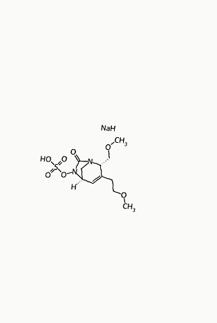 COCCC1=C[C@@H]2CN(C(=O)N2OS(=O)(=O)O)[C@@H]1COC.[NaH]